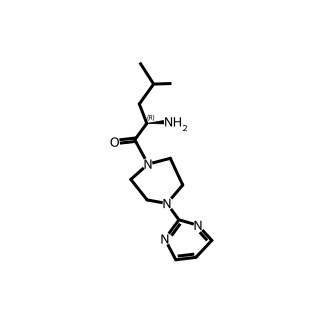 CC(C)C[C@@H](N)C(=O)N1CCN(c2ncccn2)CC1